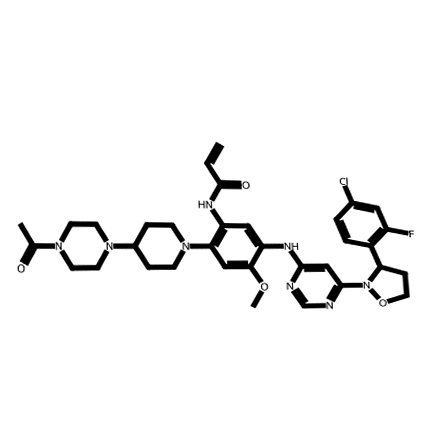 C=CC(=O)Nc1cc(Nc2cc(N3OCCC3c3ccc(Cl)cc3F)ncn2)c(OC)cc1N1CCC(N2CCN(C(C)=O)CC2)CC1